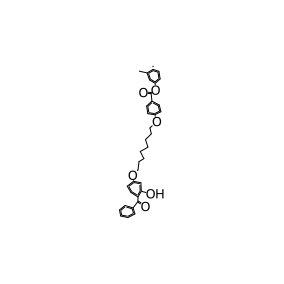 Cc1[c]ccc(OC(=O)c2ccc(OCCCCCCCCOc3ccc(C(=O)c4ccccc4)c(O)c3)cc2)c1